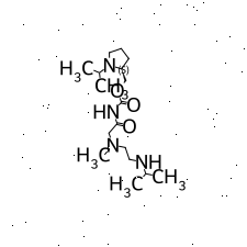 CC(C)NCCN(C)CC(=O)NC(=O)OC[C@@H]1CCCN1C(C)C